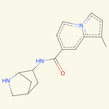 Cc1ccn2ccc(C(=O)NC3CC4CNC3C4)cc12